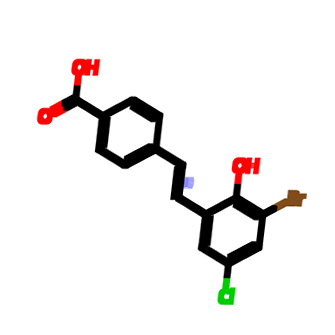 O=C(O)c1ccc(/C=C/c2cc(Cl)cc(Br)c2O)cc1